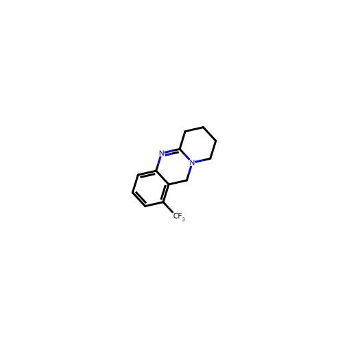 FC(F)(F)c1cccc2c1CN1CCCCC1=N2